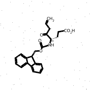 C=C[CH]C(=O)[C@H](CCC(=O)O)NC(=O)OCC1c2ccccc2-c2ccccc21